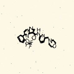 O=C(Nc1cccc(CN2CCOCC2)n1)c1cnn2ccc(-c3ccccc3OC(F)(F)F)nc12